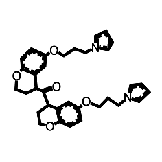 O=C(C1CCOc2ccc(OCCCn3cccc3)cc21)C1CCOc2ccc(OCCCn3cccc3)cc21